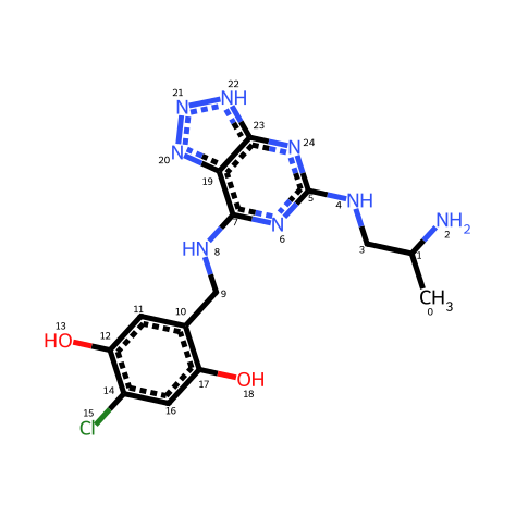 CC(N)CNc1nc(NCc2cc(O)c(Cl)cc2O)c2nn[nH]c2n1